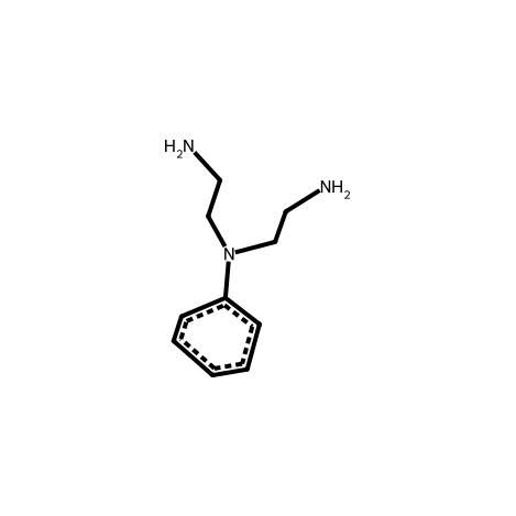 NCCN(CCN)c1ccccc1